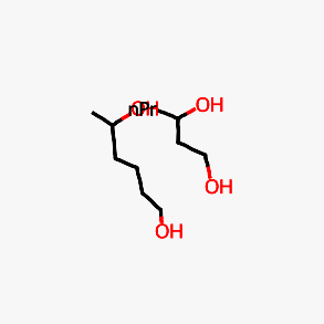 CC(O)CCCCO.CCCC(O)CCO